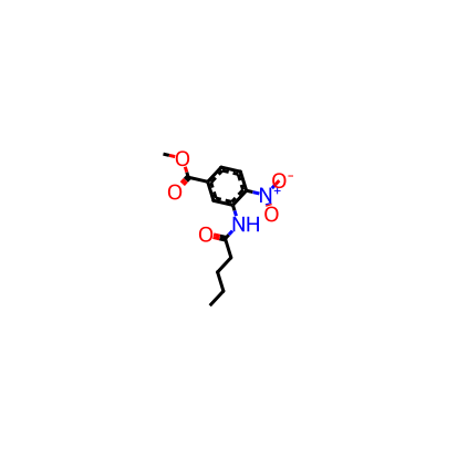 CCCCC(=O)Nc1cc(C(=O)OC)ccc1[N+](=O)[O-]